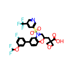 O=C(O)C1(CC2CN(S(=O)(=O)c3cncc(C(F)(F)F)c3)c3cc(-c4cc(F)cc(OC(F)F)c4)ccc3O2)COC1